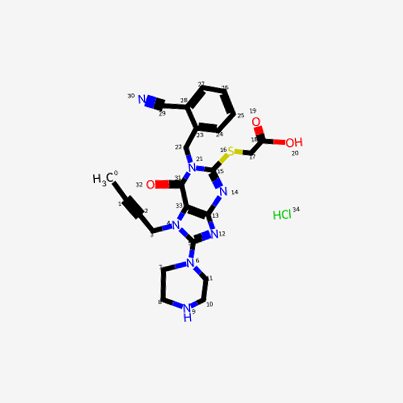 CC#CCn1c(N2CCNCC2)nc2nc(SCC(=O)O)n(Cc3ccccc3C#N)c(=O)c21.Cl